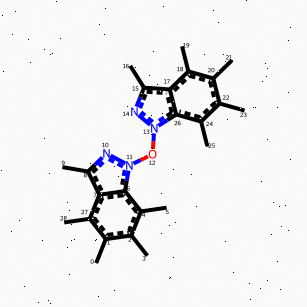 Cc1c(C)c(C)c2c(c(C)nn2On2nc(C)c3c(C)c(C)c(C)c(C)c32)c1C